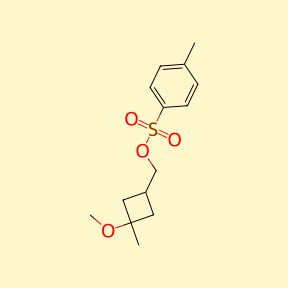 COC1(C)CC(COS(=O)(=O)c2ccc(C)cc2)C1